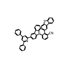 N#Cc1cccc(-n2c3ccccc3c3cc(-c4cc(-c5ccccc5)cc(-c5ccccc5)n4)ccc32)c1-c1ccc2sc3ccccc3c2c1